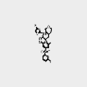 Cc1cc(S(=O)(=O)c2cccc(F)c2)cc(=O)n1C(CC1CCOCC1)C(=O)Nc1ncc(F)s1